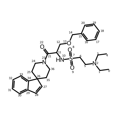 CCN(CC)CCS(=O)(=O)NC(COCc1ccccc1)C(=O)N1CCC2(C=Cc3ccccc32)CC1